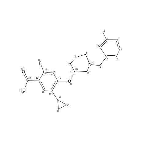 Cc1cccc(CN2CCC[C@@H](Oc3cc(F)c(C(=O)O)cc3C3CC3)C2)c1